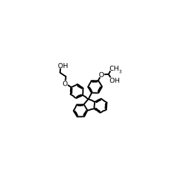 CC(O)Oc1ccc(C2(c3ccc(OCCO)cc3)c3ccccc3-c3ccccc32)cc1